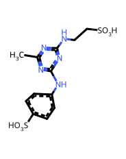 Cc1nc(NCCS(=O)(=O)O)nc(Nc2ccc(S(=O)(=O)O)cc2)n1